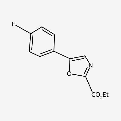 CCOC(=O)c1ncc(-c2ccc(F)cc2)o1